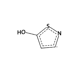 Oc1c[c]ns1